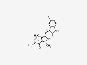 Cc1[nH]c(/C=C2\C(=O)Nc3ccc(F)cc32)c(C)c1C(=O)N(C)C